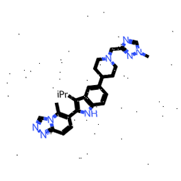 Cc1c(-c2[nH]c3ccc(C4CCN(Cc5ncn(C)n5)CC4)cc3c2C(C)C)ccc2nncn12